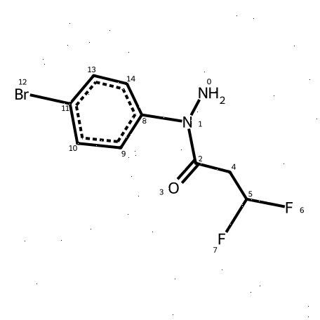 NN(C(=O)CC(F)F)c1ccc(Br)cc1